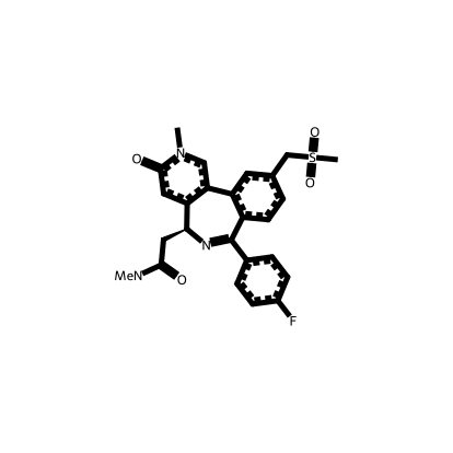 CNC(=O)C[C@@H]1N=C(c2ccc(F)cc2)c2ccc(CS(C)(=O)=O)cc2-c2cn(C)c(=O)cc21